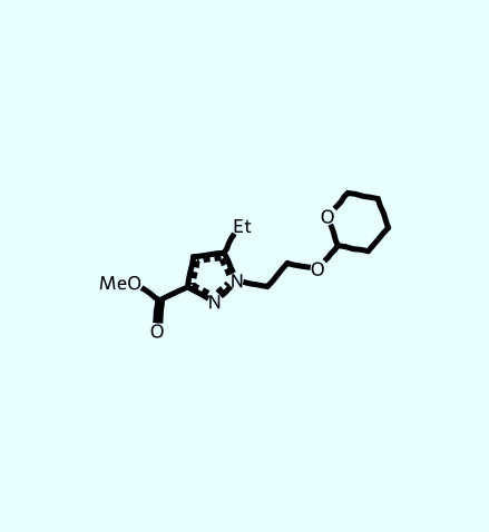 CCc1cc(C(=O)OC)nn1CCOC1CCCCO1